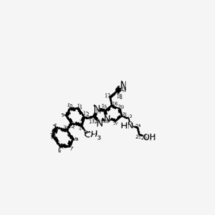 Cc1c(-c2ccccc2)cccc1-c1nc2c(CC#N)cc(CNCCO)cn2n1